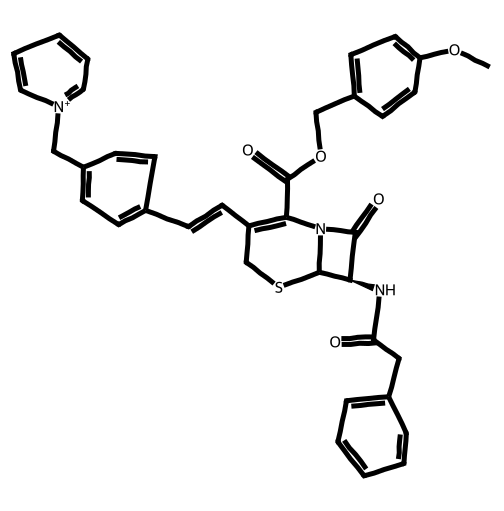 COc1ccc(COC(=O)C2=C(/C=C/c3ccc(C[n+]4ccccc4)cc3)CSC3[C@H](NC(=O)Cc4ccccc4)C(=O)N23)cc1